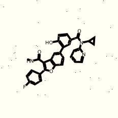 CNC(=O)c1c(-c2ccc(F)cc2)oc2ccc(-c3cc(C(=O)N(c4ccccn4)C4CC4)ccc3O)cc12